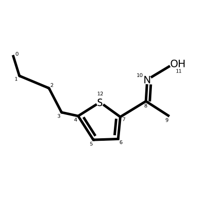 CCCCc1ccc(C(C)=NO)s1